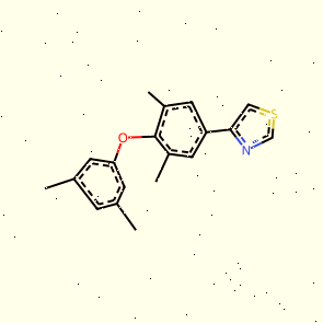 Cc1cc(C)cc(Oc2c(C)cc(-c3cscn3)cc2C)c1